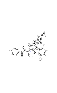 C/C(C(=O)Nc1ccncc1)=C(/O)[C@@H]1Oc2c(O)ccc3c2[C@@]12CCN(CC1CC1)[C@H](C3)[C@@]2(C)O